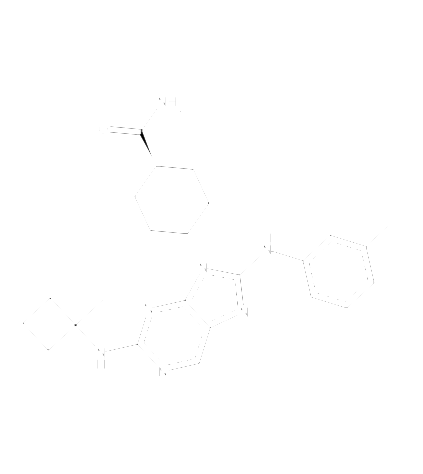 CC1(Nc2ncc3nc(Nc4cccc(Cl)c4)n([C@H]4CC[C@H](C(N)=O)CC4)c3n2)CCC1